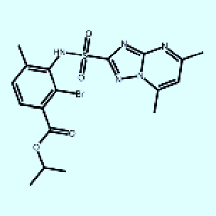 Cc1cc(C)n2nc(S(=O)(=O)Nc3c(C)ccc(C(=O)OC(C)C)c3Br)nc2n1